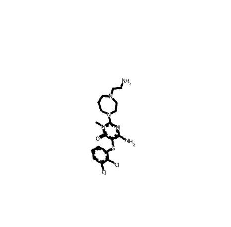 Cn1c(N2CCCN(CCN)CC2)nc(N)c(Sc2cccc(Cl)c2Cl)c1=O